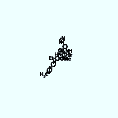 CCc1cc(Nc2ncc(Br)c(Nc3ccc(-c4cnccn4)cc3P=O)n2)c(OC)cc1N1CCC(N2CCN(C)CC2)CC1